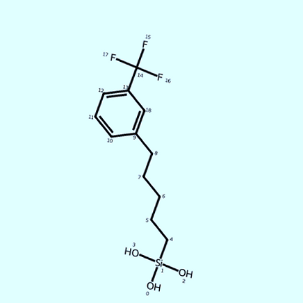 O[Si](O)(O)CCCCCc1cccc(C(F)(F)F)c1